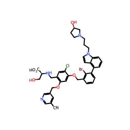 N#Cc1cncc(COc2cc(OCc3cccc(-c4cccc5c4ccn5CCCN4CC[C@@H](O)C4)c3Br)c(Cl)cc2CN[C@@H](CO)C(=O)O)c1